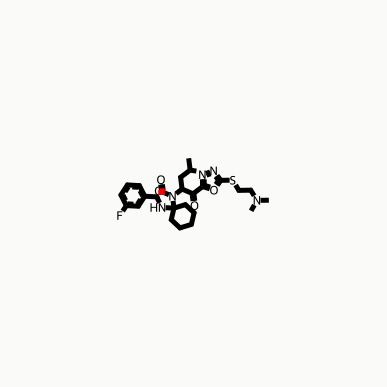 CC(C)CC(C(=O)c1nnc(SCCN(C)C)o1)N(C=O)C1(NC(=O)c2cccc(F)c2)CCCCC1